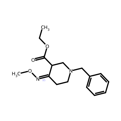 CCOC(=O)C1CN(Cc2ccccc2)CC/C1=N/OC